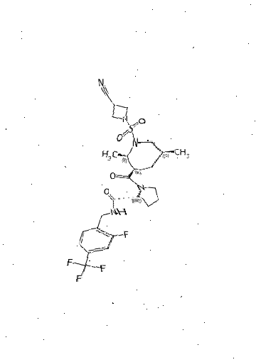 C[C@H]1C[C@@H](C(=O)N2CCC[C@@H]2C(=O)NCc2ccc(C(F)(F)F)cc2F)[C@@H](C)N(S(=O)(=O)N2CC(C#N)C2)C1